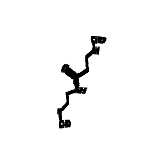 O=CNCCC(=O)NCCSC=O